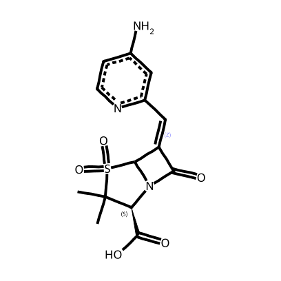 CC1(C)[C@H](C(=O)O)N2C(=O)/C(=C/c3cc(N)ccn3)C2S1(=O)=O